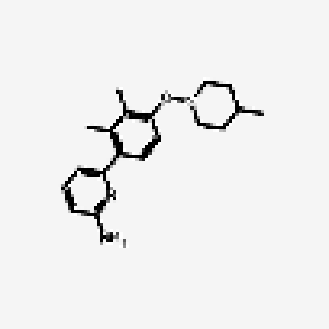 Cc1c(ON2CCC(C)CC2)ccc(-c2cccc(N)n2)c1C